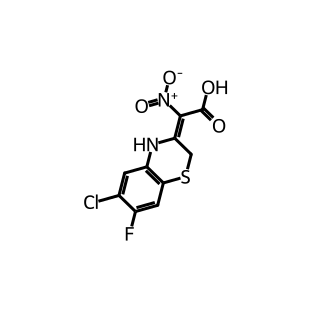 O=C(O)C(=C1CSc2cc(F)c(Cl)cc2N1)[N+](=O)[O-]